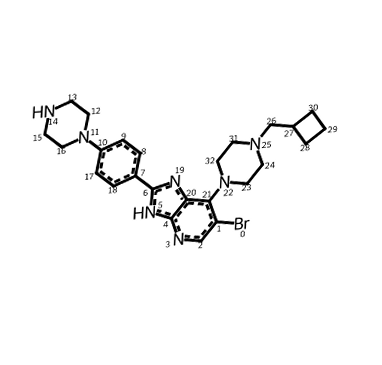 Brc1cnc2[nH]c(-c3ccc(N4CCNCC4)cc3)nc2c1N1CCN(CC2CCC2)CC1